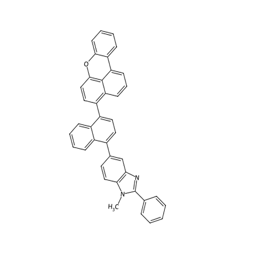 Cn1c(-c2ccccc2)nc2cc(-c3ccc(-c4ccc5c6c(cccc46)-c4ccccc4O5)c4ccccc34)ccc21